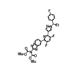 CC[C@H](c1ccc(F)cc1)n1cc(-c2nc(-c3ccn4nc(N(C(=O)OC(C)(C)C)C(=O)OC(C)(C)C)nc4c3)c(F)cc2F)cn1